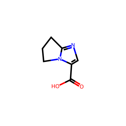 O=C(O)c1cnc2n1CCC2